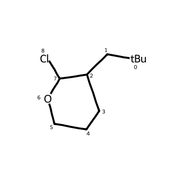 CC(C)(C)CC1CCCOC1Cl